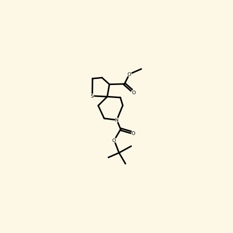 COC(=O)C1CCSC12CCN(C(=O)OC(C)(C)C)CC2